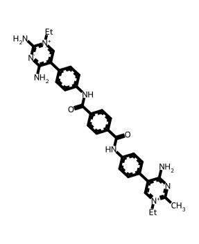 CC[n+]1cc(-c2ccc(NC(=O)c3ccc(C(=O)Nc4ccc(-c5c[n+](CC)c(N)nc5N)cc4)cc3)cc2)c(N)nc1C